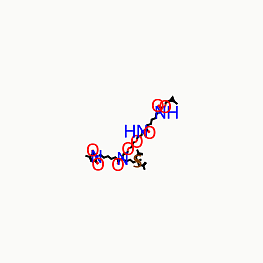 C=C(C)CS(C)(CCCN(CCOCCOCCNC(=O)CCCCCNC(=O)OCC1C=C1C)C(=O)CCCCCN1C(=O)C=C(C)C1=O)CC(=C)C